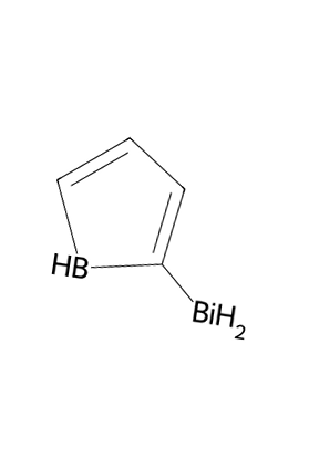 [BiH2][C]1=CC=CB1